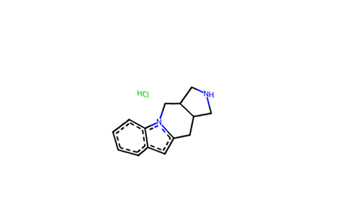 Cl.c1ccc2c(c1)cc1n2CC2CNCC2C1